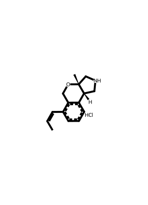 C/C=C\c1cccc2c1CO[C@]1(C)CNC[C@H]21.Cl